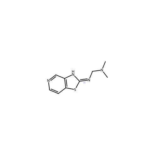 CN(C)C/N=c1\[nH]c2cnccc2s1